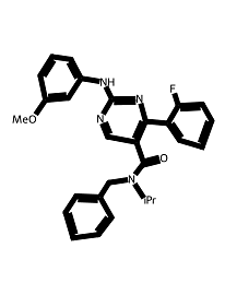 COc1cccc(Nc2ncc(C(=O)N(Cc3ccccc3)C(C)C)c(-c3ccccc3F)n2)c1